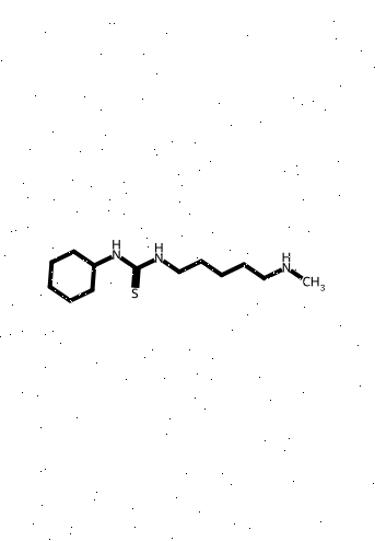 CNCCCCCNC(=S)NC1CCCCC1